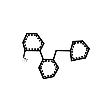 CC(C)c1ccccc1-c1ccccc1Cc1ccccc1